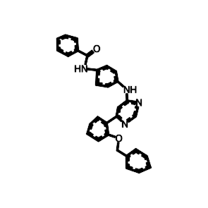 O=C(Nc1ccc(Nc2cc(-c3ccccc3OCc3ccccc3)ncn2)cc1)c1ccccc1